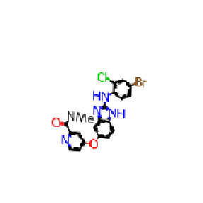 CNC(=O)c1cc(Oc2ccc3[nH]c(Nc4ccc(Br)cc4Cl)nc3c2)ccn1